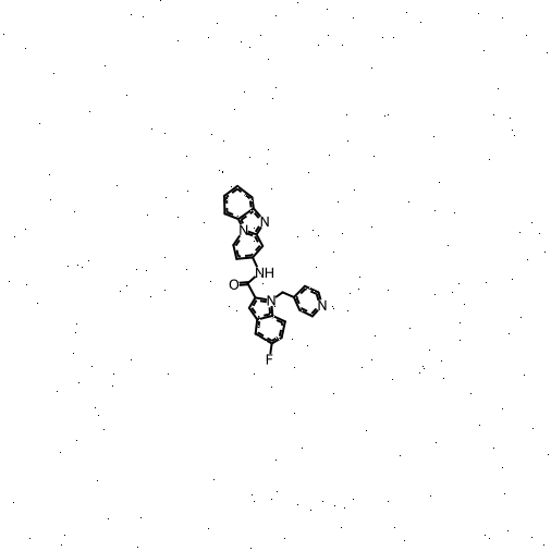 O=C(Nc1ccn2c(c1)nc1ccccc12)c1cc2cc(F)ccc2n1Cc1ccncc1